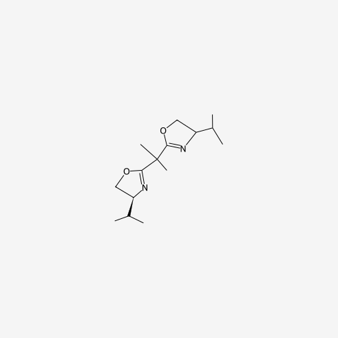 CC(C)C1COC(C(C)(C)C2=N[C@@H](C(C)C)CO2)=N1